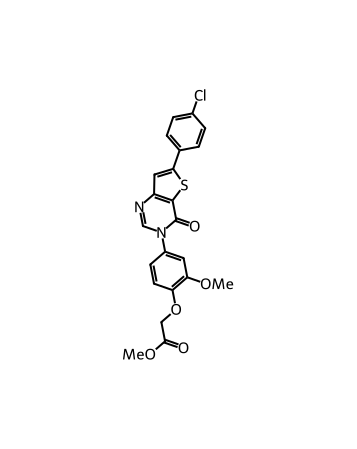 COC(=O)COc1ccc(-n2cnc3cc(-c4ccc(Cl)cc4)sc3c2=O)cc1OC